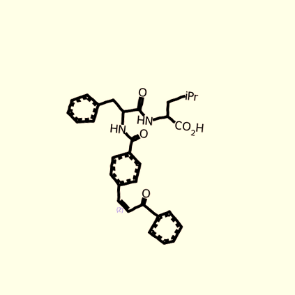 CC(C)CC(NC(=O)C(Cc1ccccc1)NC(=O)c1ccc(/C=C\C(=O)c2ccccc2)cc1)C(=O)O